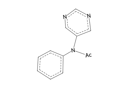 CC(=O)N(c1ccccc1)c1cncnc1